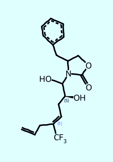 C=CC/C(=C\C[C@H](O)C(O)N1C(=O)OCC1Cc1ccccc1)C(F)(F)F